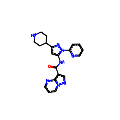 O=C(Nc1cc(C2CCNCC2)nn1-c1ccccn1)c1cnn2cccnc12